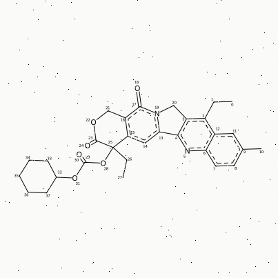 CCc1c2c(nc3ccc(C)cc13)-c1cc3c(c(=O)n1C2)COC(=O)C3(CC)OC(=O)OC1CCCCC1